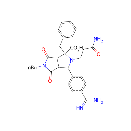 CCCCN1C(=O)C2C(c3ccc(C(=N)N)cc3)N(CCC(N)=O)C(Cc3ccccc3)(C(=O)O)C2C1=O